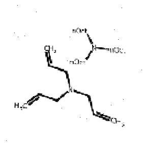 C=CCN(CC=C)CC=C.CCCCCCCCN(CCCCCCCC)CCCCCCCC